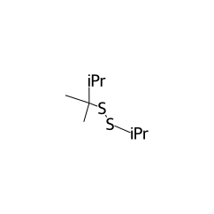 CC(C)SSC(C)(C)C(C)C